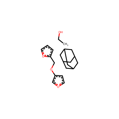 C1C2CC3CC1CC(C2)C3.CCO.c1coc(COc2ccoc2)c1